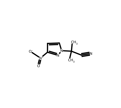 CC(C)(C#N)n1ccc([N+](=O)[O-])n1